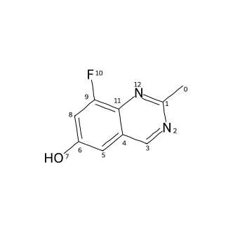 Cc1ncc2cc(O)cc(F)c2n1